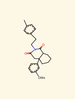 COc1cccc(C23CCCCC2C(=O)N(CCc2ccc(C)cc2)C(=O)C3)c1